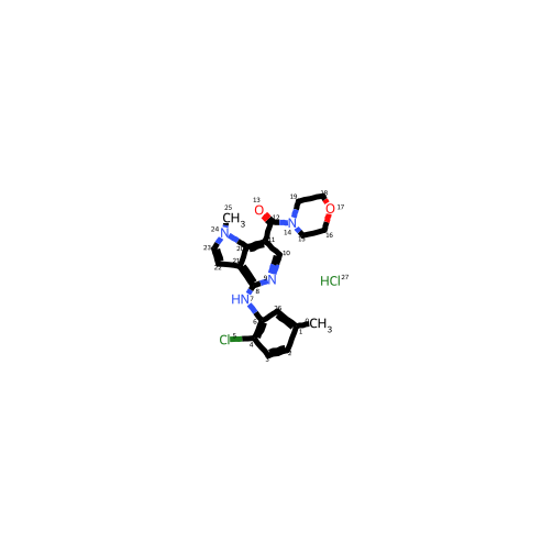 Cc1ccc(Cl)c(Nc2ncc(C(=O)N3CCOCC3)c3c2ccn3C)c1.Cl